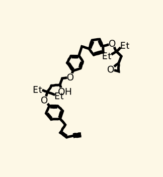 C#C/C=C\Cc1ccc(OC(CC)(CC)CC(O)COc2ccc(Cc3ccc(OC(CC)(CC)CC4CO4)cc3)cc2)cc1